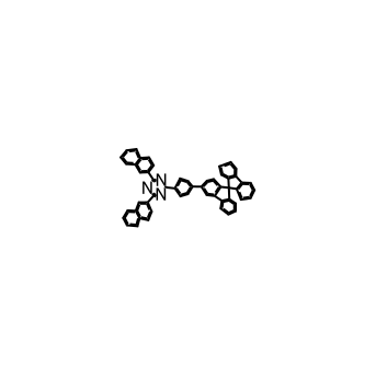 c1ccc2c(c1)-c1ccccc1C21c2ccccc2-c2cc(-c3ccc(-c4nc(-c5ccc6ccccc6c5)nc(-c5ccc6ccccc6c5)n4)cc3)ccc21